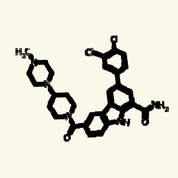 CN1CCN(C2CCN(C(=O)c3ccc4[nH]c5c(C(N)=O)cc(-c6ccc(Cl)c(Cl)c6)cc5c4c3)CC2)CC1